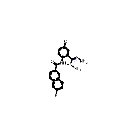 N/N=C(\NN)c1cc(Cl)ccc1NC(=O)c1ccc2cc(F)ccc2c1